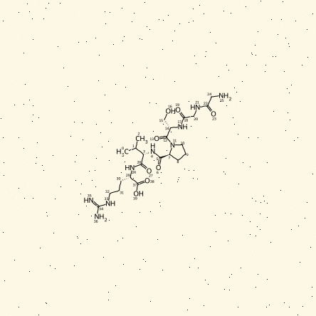 CC(C)[C@H](NC(=O)[C@@H]1CCCN1C(=O)[C@H](CO)NC(=O)CNC(=O)CN)C(=O)N[C@@H](CCCNC(=N)N)C(=O)O